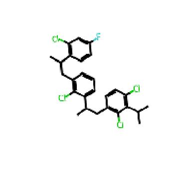 CC(C)c1c(Cl)ccc(CC(C)c2cccc(CC(C)c3ccc(F)cc3Cl)c2Cl)c1Cl